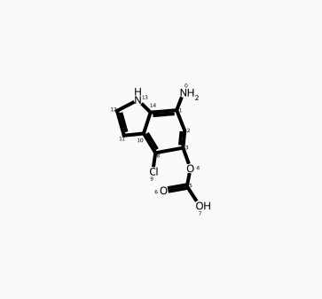 Nc1cc(OC(=O)O)c(Cl)c2cc[nH]c12